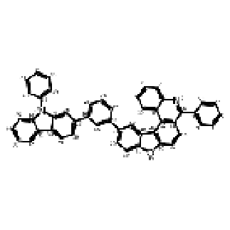 c1ccc(-c2nc3ccccc3c3c2ccc2oc4ccc(-c5cccc(-c6ccc7c8ccccc8n(-c8ccccc8)c7c6)c5)cc4c23)cc1